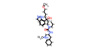 CNC[C@H](CC1CCCCC1)NC(=O)N1CCC[C@@H]([C@@](O)(CCCCOC)c2cccc3cn[nH]c23)C1